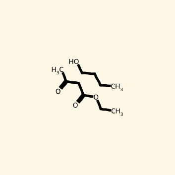 CCCCO.CCOC(=O)CC(C)=O